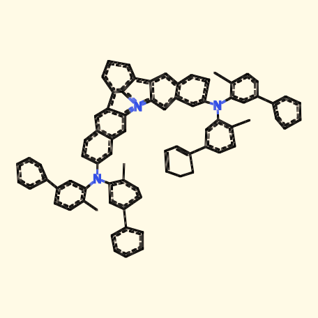 Cc1ccc(C2=CC=CCC2)cc1N(c1ccc2cc3c4cccc5c6cc7ccc(N(c8cc(-c9ccccc9)ccc8C)c8cc(-c9ccccc9)ccc8C)cc7cc6n(c3cc2c1)c45)c1cc(-c2ccccc2)ccc1C